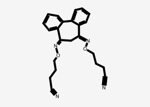 N#CCCCON=C1CC(=NOCCCC#N)c2ccccc2-c2ccccc21